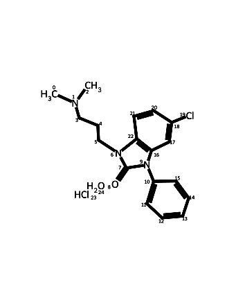 CN(C)CCCn1c(=O)n(-c2ccccc2)c2cc(Cl)ccc21.Cl.O